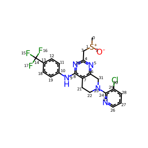 C[S+]([O-])Cc1nc2c(c(Nc3ccc(C(F)(F)F)cc3)n1)CCN(c1ncccc1Cl)C2